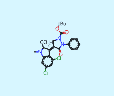 CN1c2cc(Cl)cc(Cl)c2C(=C2CN(C(=O)OC(C)(C)C)N(c3ccccc3)C2=O)C1C(=O)O